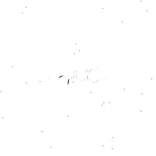 C=CC(=O)NCC(CC)NC